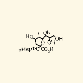 CCCCCCCOC1(C(=O)O)CC(O)[C@@H](C)[C@H]([C@H](O)[C@H](O)CO)O1